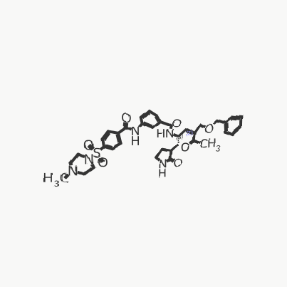 CC(=O)/C(=C\[C@H](CC1CCNC1=O)NC(=O)c1cccc(NC(=O)c2ccc(S(=O)(=O)N3CCN(C)CC3)cc2)c1)COCc1ccccc1